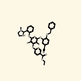 CCOC(=O)c1ccc(Sc2c(F)c(Oc3cc(C#N)ccc3OCc3ccccc3)nc(Oc3ccccc3C3NCCN3C)c2F)nc1